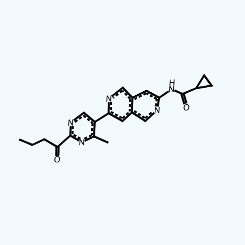 CCCC(=O)c1ncc(-c2cc3cnc(NC(=O)C4CC4)cc3cn2)c(C)n1